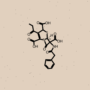 CCC(=O)C1=C(C(=O)O)N2C(=O)C(NC(=O)Cc3ccccc3)(C(=O)O)[C@@H]2SC1C(=O)O